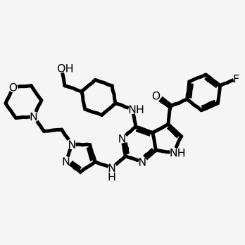 O=C(c1ccc(F)cc1)c1c[nH]c2nc(Nc3cnn(CCN4CCOCC4)c3)nc(NC3CCC(CO)CC3)c12